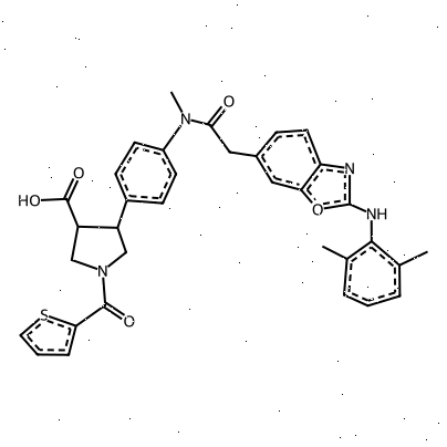 Cc1cccc(C)c1Nc1nc2ccc(CC(=O)N(C)c3ccc(C4CN(C(=O)c5cccs5)CC4C(=O)O)cc3)cc2o1